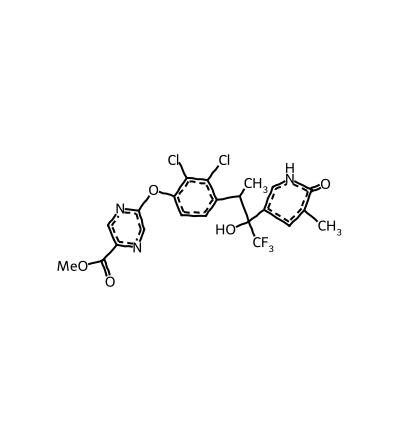 COC(=O)c1cnc(Oc2ccc(C(C)C(O)(c3c[nH]c(=O)c(C)c3)C(F)(F)F)c(Cl)c2Cl)cn1